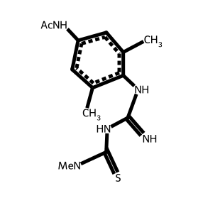 CNC(=S)NC(=N)Nc1c(C)cc(NC(C)=O)cc1C